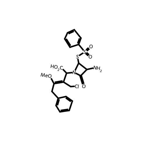 COC(Cc1ccccc1)=C(CCl)C(C(=O)O)N1C(=O)C(N)C1SS(=O)(=O)c1ccccc1